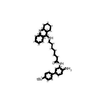 CC(C)(C)c1ccc(-c2ccc(N)c(NC(=O)CCCCCCNc3c4c(nc5ccccc35)CCCC4)c2)cc1